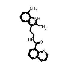 Cc1[nH]c2c(C)cccc2c1CCNC(=O)c1cccc2cccnc12